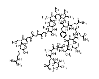 CC(C)[C@H](NC(=O)[C@H](Cc1ccccc1)NC(=O)[C@H](CCC(N)=O)NC(=O)[C@H](CCC(N)=O)NC(=O)[C@H](C)NC(=O)[C@H](CCC(N)=O)NC(=O)[C@H](C)NC(=O)[C@H](C)NC(=O)[C@H](C)NC(=O)[C@H](CCC(N)=O)NC(=O)[C@@H](N)[C@@H](C)O)C(=O)N[C@@H](C)C(=O)N[C@@H](C)C(=O)N[C@@H](C)C(=O)N[C@@H](C)C(=O)NCC(=O)NCC(=O)NCC(=O)N[C@@H](CO)C(=O)N[C@@H](CCCNC(=N)N)C(=O)O